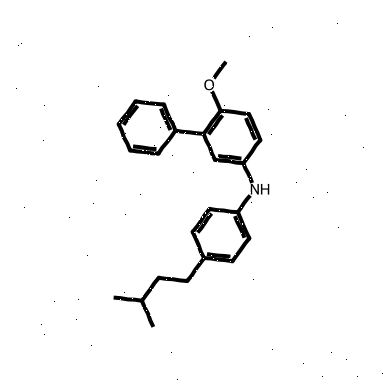 COc1ccc(Nc2ccc(CCC(C)C)cc2)cc1-c1ccccc1